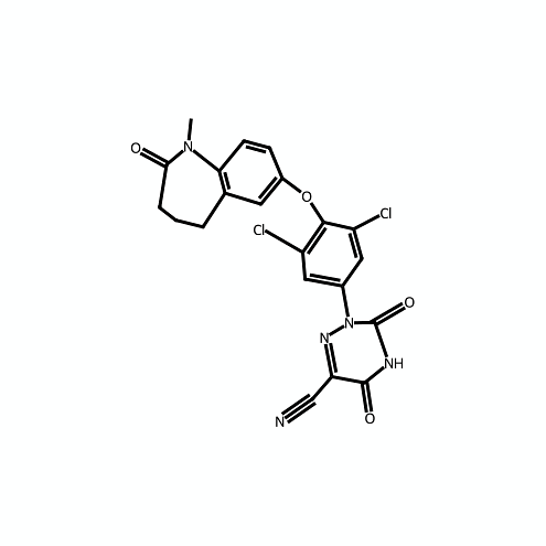 CN1C(=O)CCCc2cc(Oc3c(Cl)cc(-n4nc(C#N)c(=O)[nH]c4=O)cc3Cl)ccc21